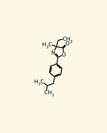 CCC1(C)N=C(c2ccc(CC(C)C)cc2)OC1=O